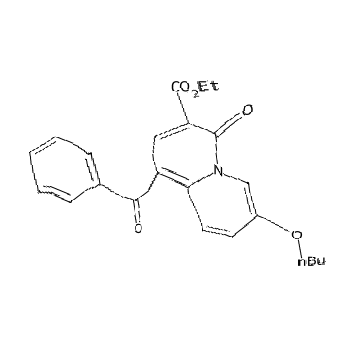 CCCCOc1ccc2c(C(=O)c3ccccc3)cc(C(=O)OCC)c(=O)n2c1